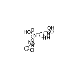 O=C(O)C1CC2CC(CN3C[C@@H](n4nnc(-c5ccccc5Cl)n4)C[C@H]3C(=O)O)CC[C@H]2CN1